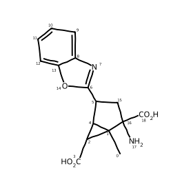 CC12C(C(=O)O)C1C(c1nc3ccccc3o1)CC2(N)C(=O)O